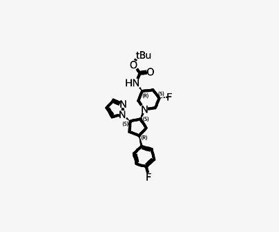 CC(C)(C)OC(=O)N[C@@H]1C[C@H](F)CN([C@H]2C[C@@H](c3ccc(F)cc3)C[C@@H]2n2cccn2)C1